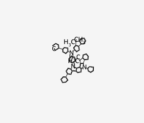 CC1(C)c2ccccc2-c2ccc(N(c3ccc(-c4ccccc4)cc3)c3ccc(-n4c5ccc(-c6ccccc6)cc5c5ccc6c(c7c(n6-c6ccccc6)-c6ccccc6C7(C)C)c54)cc3)cc21